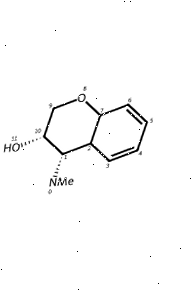 CN[C@H]1C2C=CC=CC2OC[C@H]1O